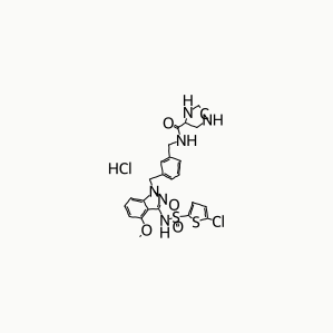 COc1cccc2c1c(NS(=O)(=O)c1ccc(Cl)s1)nn2Cc1cccc(CNC(=O)C2CNCCN2)c1.Cl